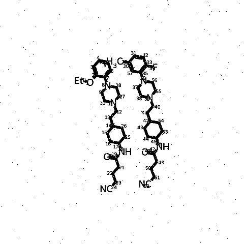 CCOc1ccccc1N1CCN(CCC2CCC(NC(=O)CCCC#N)CC2)CC1.Cc1ccc(F)c(N2CCN(CCC3CCC(NC(=O)CCCC#N)CC3)CC2)c1